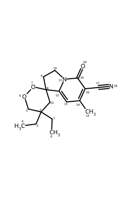 CCC1(CC)COOC2(CCn3c2cc(C)c(C#N)c3=O)C1